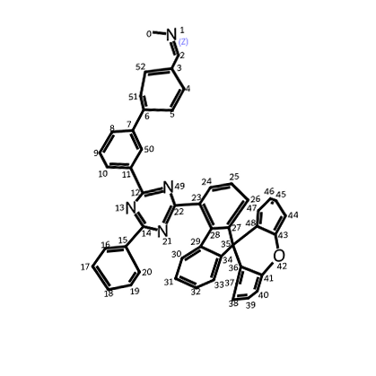 C/N=C\c1ccc(-c2cccc(-c3nc(-c4ccccc4)nc(-c4cccc5c4-c4ccccc4C54c5ccccc5Oc5ccccc54)n3)c2)cc1